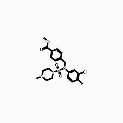 COC(=O)c1ccc(CN(c2ccc(F)c(Cl)c2)S(=O)(=O)N2CCN(C)CC2)cc1